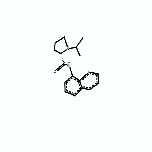 CC(C)N1CCC[C@H]1C(=O)Nc1cccc2cccnc12